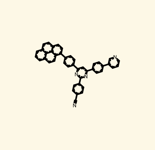 N#Cc1ccc(-c2nc(-c3ccc(-c4cccnc4)cc3)cc(-c3ccc(-c4ccc5ccc6cccc7ccc4c5c67)cc3)n2)cc1